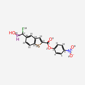 O=C(Oc1ccc([N+](=O)[O-])cc1)c1cc2cc(C(F)PO)ccc2s1